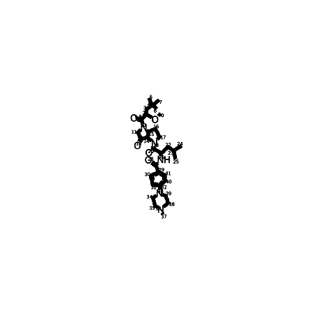 COC(CC(C)(C)C)C(=O)N1CC(=O)C2C1CCN2C(=O)C(CC(C)C)NC(=O)c1ccc(N2CCN(C)CC2)cc1